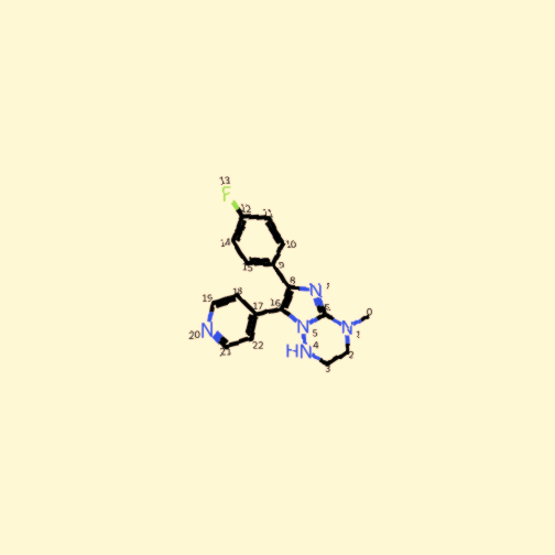 CN1CCNn2c1nc(-c1ccc(F)cc1)c2-c1ccncc1